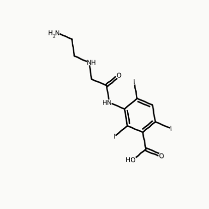 NCCNCC(=O)Nc1c(I)cc(I)c(C(=O)O)c1I